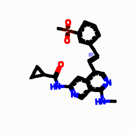 CNc1ncc(/C=C/c2cccc(S(C)(=O)=O)c2)c2cc(NC(=O)C3CC3)ncc12